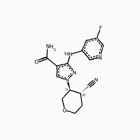 N#C[C@@H]1CCOC[C@H]1n1cc(C(N)=O)c(Nc2cncc(F)c2)n1